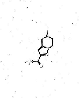 CN1CCn2nc(C(N)=O)cc2C1